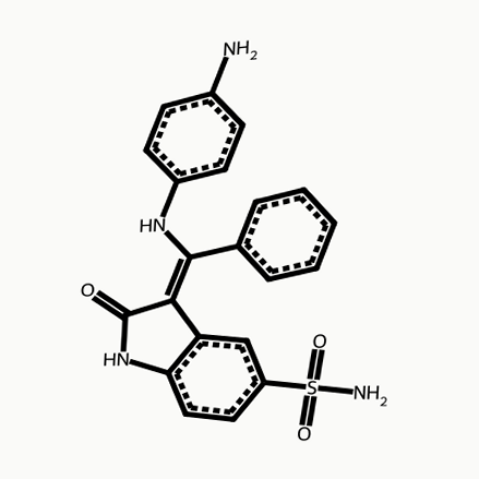 Nc1ccc(N/C(=C2\C(=O)Nc3ccc(S(N)(=O)=O)cc32)c2ccccc2)cc1